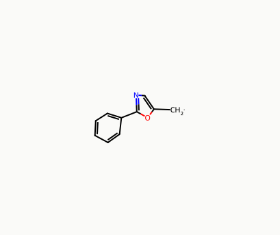 [CH2]c1cnc(-c2ccccc2)o1